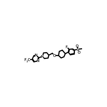 CS(=O)(=O)c1ccc(C2CCC(OCC3CCN(c4ncc(C(F)(F)F)cn4)CC3)CC2)c(F)c1